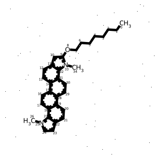 CCCCCCCCOc1cc2ccc3c4ccc5c(ccc6ccn(C)c65)c4ccc3c2n1C